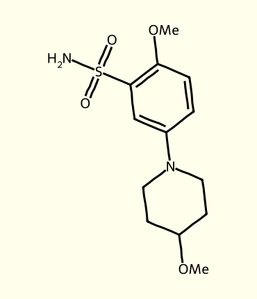 COc1ccc(N2CCC(OC)CC2)cc1S(N)(=O)=O